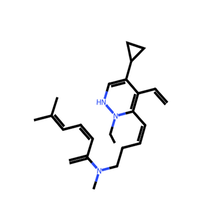 C=CC1=C(/C=C\CCN(C)C(=C)/C=C\C=C(C)C)N(CC)NC=C1C1CC1